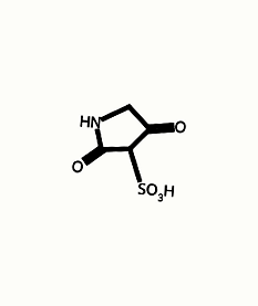 O=C1CNC(=O)C1S(=O)(=O)O